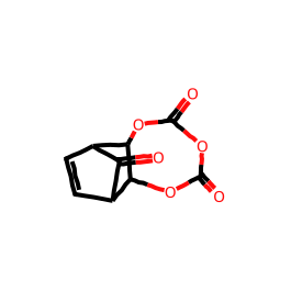 O=C1OC(=O)OC2C3C=CC(C3=O)C2O1